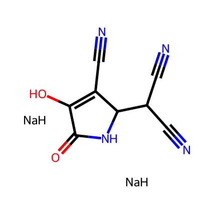 N#CC1=C(O)C(=O)NC1C(C#N)C#N.[NaH].[NaH]